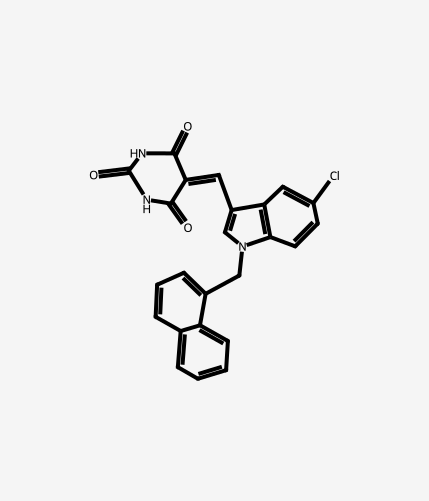 O=C1NC(=O)C(=Cc2cn(Cc3cccc4ccccc34)c3ccc(Cl)cc23)C(=O)N1